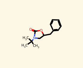 CC(C)(C)N1CC(Cc2ccccc2)OC1=O